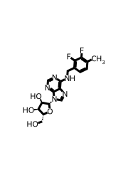 Cc1ccc(CNc2ncnc3c2ncn3[C@@H]2O[C@H](CO)[C@@H](O)[C@H]2O)c(F)c1F